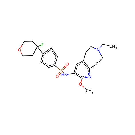 CCN1CCc2cc(NS(=O)(=O)c3ccc(C4(F)CCOCC4)cc3)c(OC)nc2CC1